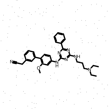 CCN(CC)CCCNc1nc(Nc2ccc(-c3cccc(CC#N)c3)c(OC)c2)nc(-c2ccccc2)n1